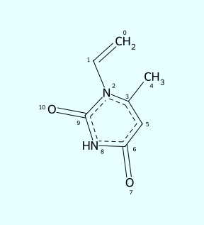 C=Cn1c(C)cc(=O)[nH]c1=O